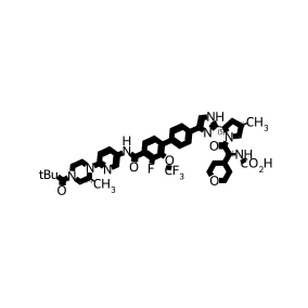 C[C@H]1C[C@@H](c2nc(-c3ccc(-c4ccc(C(=O)Nc5ccc(N6CCN(C(=O)C(C)(C)C)C[C@H]6C)nc5)c(F)c4OC(F)(F)F)cc3)c[nH]2)N(C(=O)[C@@H](NC(=O)O)C2CCOCC2)C1